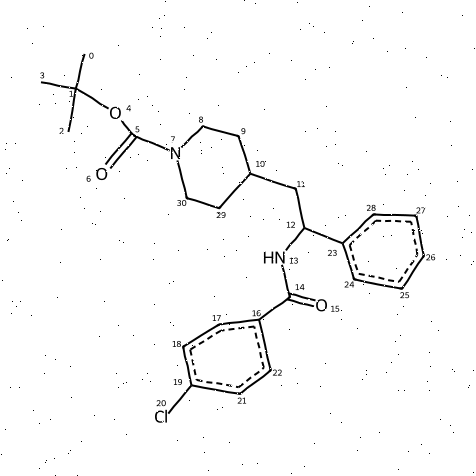 CC(C)(C)OC(=O)N1CCC(CC(NC(=O)c2ccc(Cl)cc2)c2ccccc2)CC1